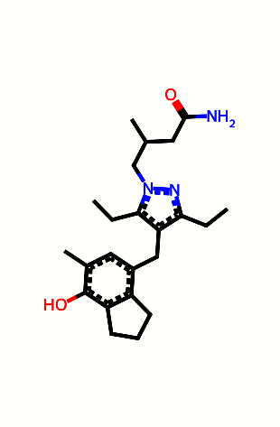 CCc1nn(CC(C)CC(N)=O)c(CC)c1Cc1cc(C)c(O)c2c1CCC2